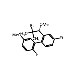 CCc1ccc(-c2cc(OC)ccc2F)c([C@@H](OC)C(C)(C)CC)c1